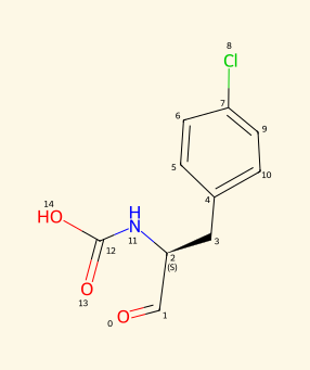 O=C[C@H](Cc1ccc(Cl)cc1)NC(=O)O